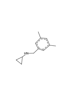 Cc1cc(C)cc(CNC2CC2)c1